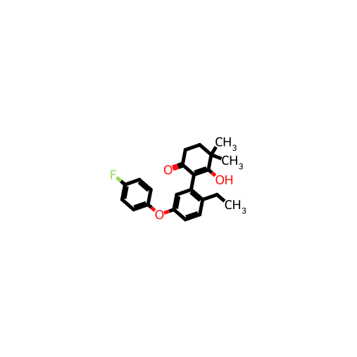 CCc1ccc(Oc2ccc(F)cc2)cc1C1=C(O)C(C)(C)CCC1=O